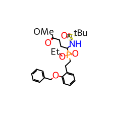 CCOP(=O)(CCc1ccccc1OCc1ccccc1)C(CCC(=O)OC)N[S@@+]([O-])C(C)(C)C